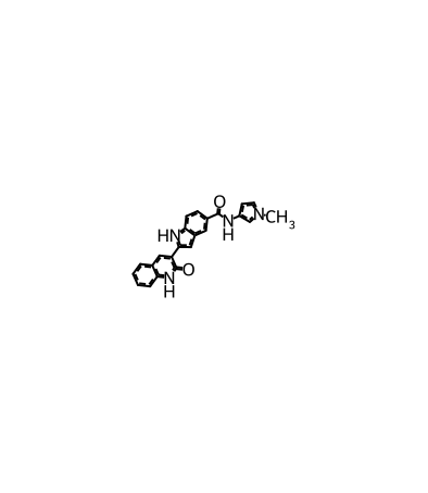 Cn1ccc(NC(=O)c2ccc3[nH]c(-c4cc5ccccc5[nH]c4=O)cc3c2)c1